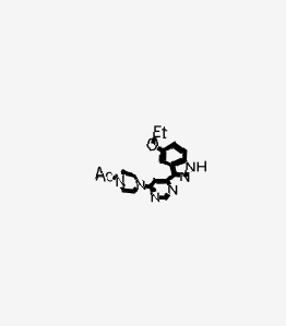 CCOc1ccc2[nH]nc(-c3cc(N4CCN(C(C)=O)CC4)ncn3)c2c1